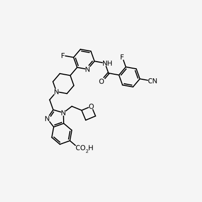 N#Cc1ccc(C(=O)Nc2ccc(F)c(C3CCN(Cc4nc5ccc(C(=O)O)cc5n4CC4CCO4)CC3)n2)c(F)c1